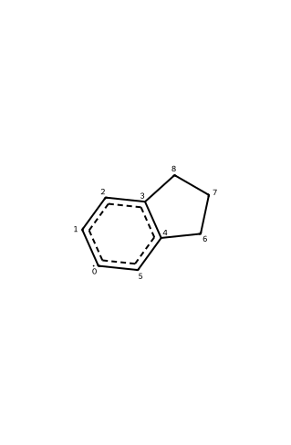 [c]1ccc2c(c1)CCC2